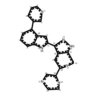 c1cncc(-c2cccc3[nH]c(-c4n[nH]c5cnc(-c6cnccn6)cc45)cc23)c1